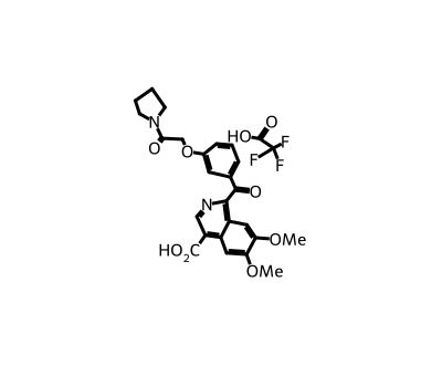 COc1cc2c(C(=O)O)cnc(C(=O)c3cccc(OCC(=O)N4CCCC4)c3)c2cc1OC.O=C(O)C(F)(F)F